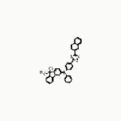 CC1(C)c2ccccc2-c2cc(N(c3ccccc3)c3ccc(-c4nc(-c5ccc6ccccc6c5)ns4)cc3)ccc21